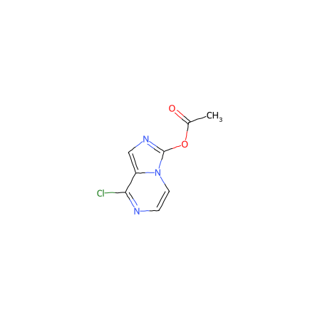 CC(=O)Oc1ncc2c(Cl)nccn12